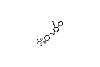 CC(C)S(=O)(=O)N[C@H]1CC[C@H](CNc2ccc(N3C=CCC3)c(C#N)c2)CC1